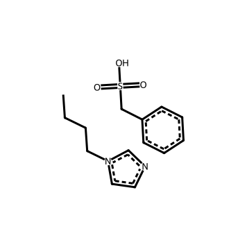 CCCCn1ccnc1.O=S(=O)(O)Cc1ccccc1